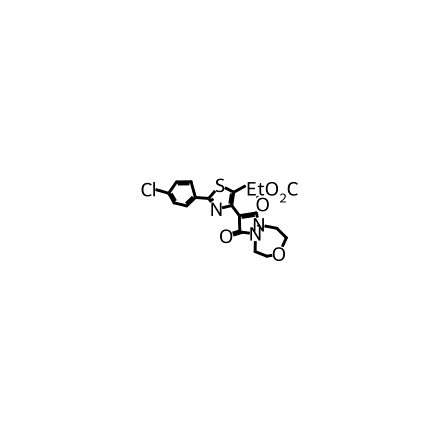 CCOC(=O)Oc1c(-c2nc(-c3ccc(Cl)cc3)sc2C)c(=O)n2n1CCOCC2